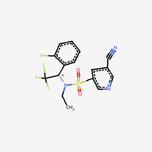 CCN([C@@H](c1ccccc1F)C(F)(F)F)S(=O)(=O)c1cncc(C#N)c1